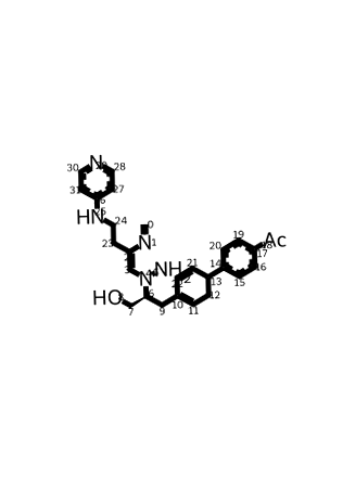 C=N/C(=C\N(N)[C@H](CO)CC1=CCC(c2ccc(C(C)=O)cc2)C=C1)CCNc1ccncc1